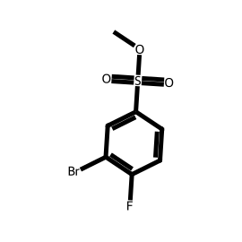 COS(=O)(=O)c1ccc(F)c(Br)c1